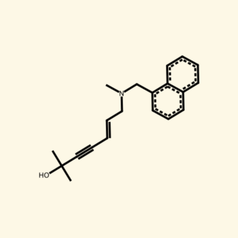 CN(C/C=C/C#CC(C)(C)O)Cc1cccc2ccccc12